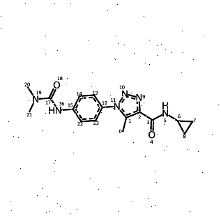 Cc1c(C(=O)NC2CC2)nnn1-c1ccc(NC(=O)N(C)C)cc1